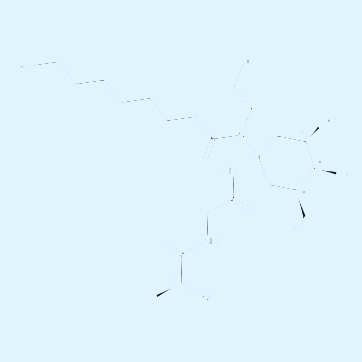 CCCCCCCCCCCCCCCCCC(=O)N(CCCCCCCCCCCC)[C@@]1(NC(=O)CNC(=O)[C@H](C)N)C[C@@H](O)[C@@H](O)[C@@H](CO)O1